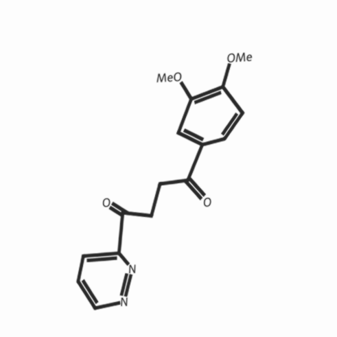 COc1ccc(C(=O)CCC(=O)c2cccnn2)cc1OC